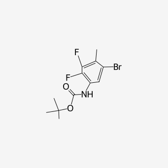 Cc1c(Br)cc(NC(=O)OC(C)(C)C)c(F)c1F